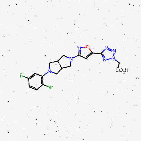 O=C(O)Cn1nnc(-c2cc(N3CC4CN(c5cc(F)ccc5Br)CC4C3)no2)n1